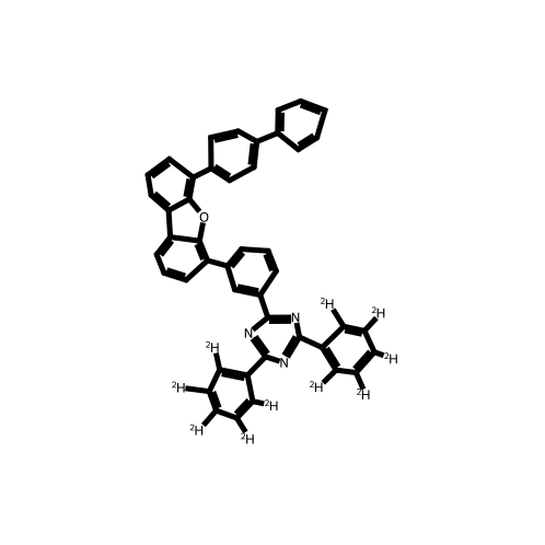 [2H]c1c([2H])c([2H])c(-c2nc(-c3cccc(-c4cccc5c4oc4c(-c6ccc(-c7ccccc7)cc6)cccc45)c3)nc(-c3c([2H])c([2H])c([2H])c([2H])c3[2H])n2)c([2H])c1[2H]